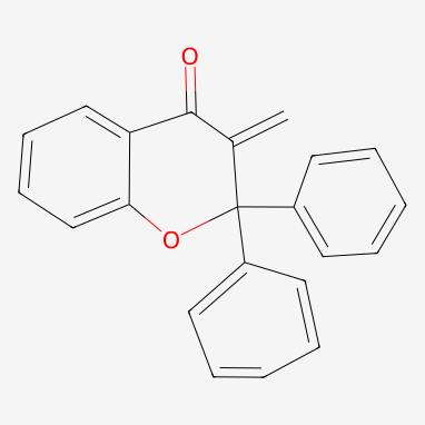 C=C1C(=O)c2ccccc2OC1(c1ccccc1)c1ccccc1